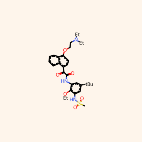 CCOc1c(NC(=O)C(=O)c2ccc(OCCN(CC)CC)c3ccccc23)cc(C(C)(C)C)cc1NS(C)(=O)=O